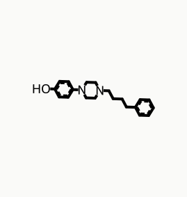 Oc1ccc(N2CCN(CCCCc3ccccc3)CC2)cc1